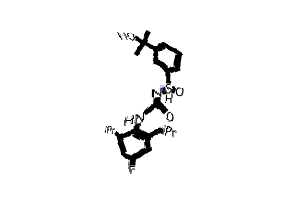 CC(C)c1cc(F)cc(C(C)C)c1NC(=O)/N=[SH](=O)/c1cccc(C(C)(C)O)c1